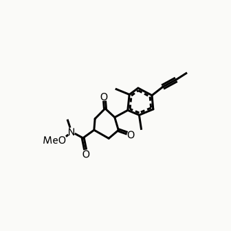 CC#Cc1cc(C)c(C2C(=O)CC(C(=O)N(C)OC)CC2=O)c(C)c1